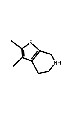 Cc1sc2c(c1C)CCNC2